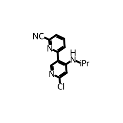 CC(C)Nc1cc(Cl)ncc1-c1cccc(C#N)n1